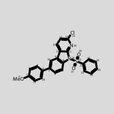 COc1ccc(-c2ccc3c(c2)c2ccc(Cl)nc2n3S(=O)(=O)c2ccccc2)cc1